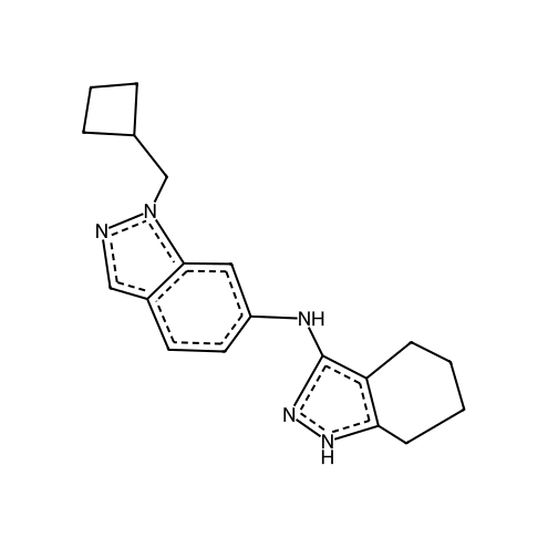 c1cc2cnn(CC3CCC3)c2cc1Nc1n[nH]c2c1CCCC2